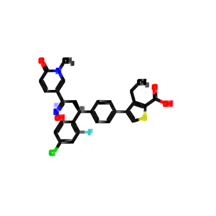 CCc1c(-c2ccc([C@H](C/C(=N\O)c3ccc(=O)n(C)c3)c3ccc(Cl)cc3F)cc2)csc1C(=O)O